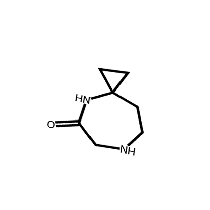 O=C1CNCCC2(CC2)N1